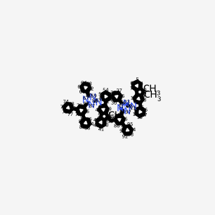 CC1(C)c2ccccc2-c2cc3c(cc21)c1ccccc1n3-c1nc(-c2ccccc2)nc(-c2cc(CC3(C)c4ccccc4-c4cc5c(cc43)c3ccccc3n5-c3nc(-c4ccccc4)nc(-c4cc(-c5ccccc5)cc(-c5ccccc5)c4)n3)cc(-c3ccccc3)c2)n1